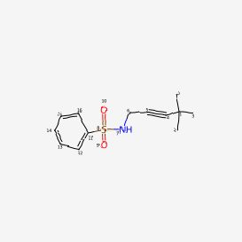 CC(C)(C)C#CCNS(=O)(=O)c1ccccc1